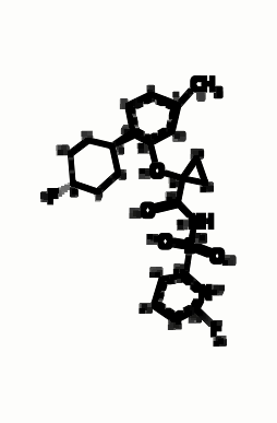 Cc1ccc([C@H]2CC[C@H](F)CC2)c(OC2(C(=O)NS(=O)(=O)c3cccc(F)n3)CC2)c1